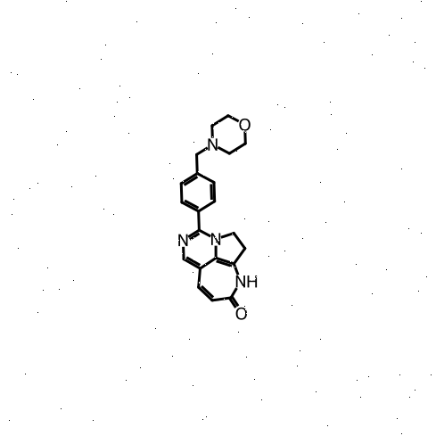 O=C1C=CC2=CN=C(c3ccc(CN4CCOCC4)cc3)N3CCC(=C23)N1